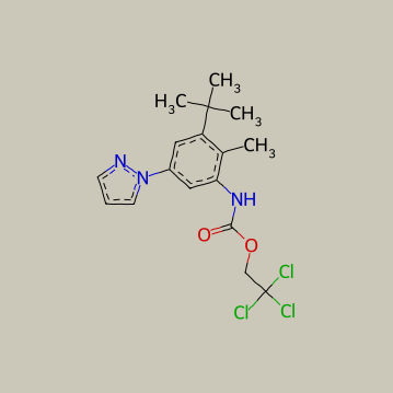 Cc1c(NC(=O)OCC(Cl)(Cl)Cl)cc(-n2cccn2)cc1C(C)(C)C